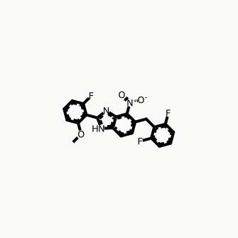 COc1cccc(F)c1-c1nc2c([N+](=O)[O-])c(Cc3c(F)cccc3F)ccc2[nH]1